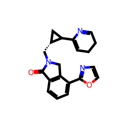 O=C1c2cccc(-c3ncco3)c2CN1C[C@@H]1CC1C1=CCCC=N1